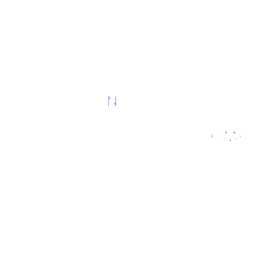 COc1cc2c(cc[n+]3c(C)c4cc(C)c(C)cc4cc23)cc1C